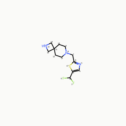 FC(F)c1cnc(CN2CCC3(CC2)CNC3)s1